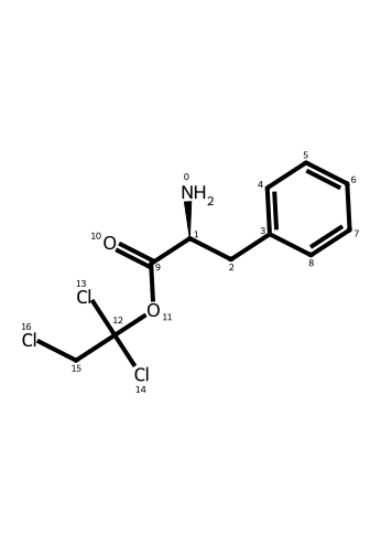 N[C@@H](Cc1ccccc1)C(=O)OC(Cl)(Cl)CCl